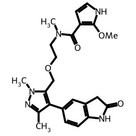 COc1[nH]ccc1C(=O)N(C)CCOCc1c(-c2ccc3c(c2)CC(=O)N3)c(C)nn1C